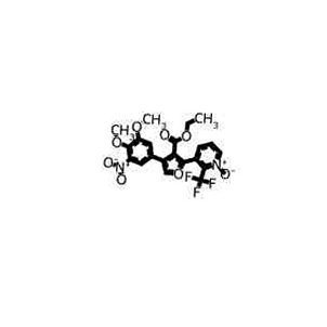 CCOC(=O)c1c(-c2cc(OC)c(OC)c([N+](=O)[O-])c2)coc1-c1ccc[n+]([O-])c1C(F)(F)F